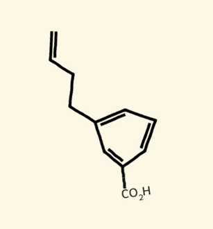 C=CCCc1cccc(C(=O)O)c1